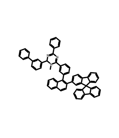 CN1C(c2cccc(-c3c(-c4ccc5c(c4)C4(c6ccccc6-c6ccccc64)c4ccccc4-5)ccc4ccccc34)c2)=NC(c2ccccc2)=NC1c1cccc(-c2ccccc2)c1